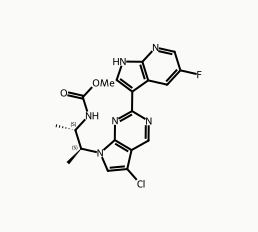 COC(=O)N[C@@H](C)[C@H](C)n1cc(Cl)c2cnc(-c3c[nH]c4ncc(F)cc34)nc21